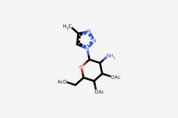 CC(=O)OCC1OC(n2cc(C)nn2)C(N)C(OC(C)=O)C1OC(C)=O